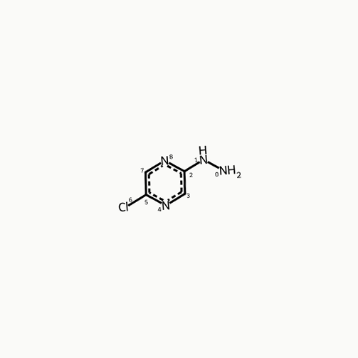 NNc1cnc(Cl)cn1